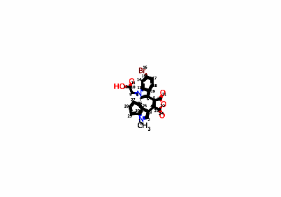 Cn1cc(C2=C(c3cn(CC(=O)O)c4cc(Br)ccc34)C(=O)OC2=O)c2ccccc21